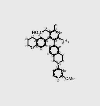 COc1nccc(N2CCc3cc(-c4c(N)nc(C)c(CC(=O)O)c4-c4ccc5c(c4)CCCO5)ccc3C2)n1